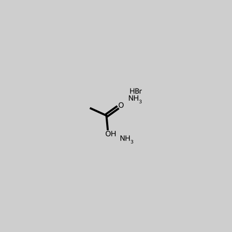 Br.CC(=O)O.N.N